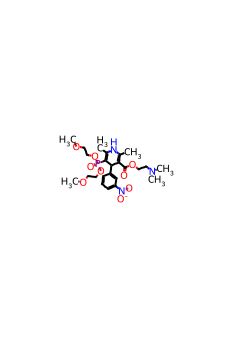 COCCOP(=O)(OCCOC)C1=C(C)NC(C)=C(C(=O)OCCN(C)C)C1c1cccc([N+](=O)[O-])c1